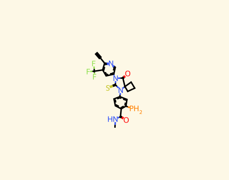 C#Cc1ncc(N2C(=O)C3(CCC3)N(c3ccc(C(=O)NC)c(P)c3)C2=S)cc1C(F)(F)F